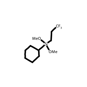 CO[Si](CCC(F)(F)F)(OC)C1CCCCC1